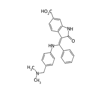 CN(C)Cc1ccc(NC(=C2C(=O)Nc3cc(C(=O)O)ccc32)c2ccccc2)cc1